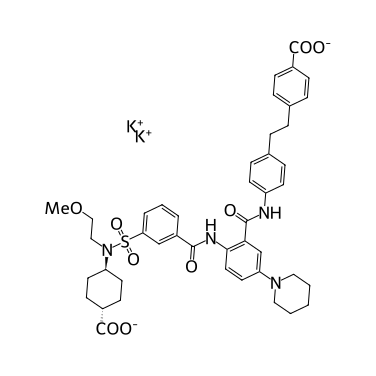 COCCN([C@H]1CC[C@H](C(=O)[O-])CC1)S(=O)(=O)c1cccc(C(=O)Nc2ccc(N3CCCCC3)cc2C(=O)Nc2ccc(CCc3ccc(C(=O)[O-])cc3)cc2)c1.[K+].[K+]